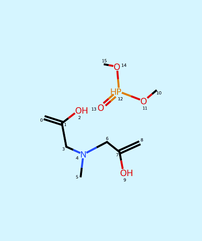 C=C(O)CN(C)CC(=C)O.CO[PH](=O)OC